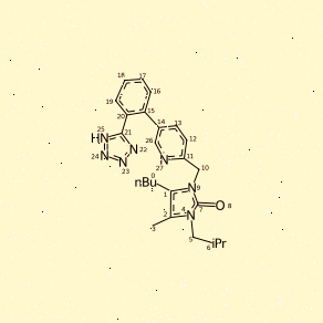 CCCCc1c(C)n(CC(C)C)c(=O)n1Cc1ccc(-c2ccccc2-c2nnn[nH]2)cn1